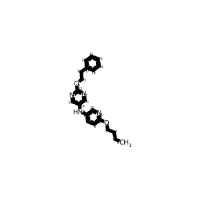 CCCCOc1ccc(Nc2cnc(OCCc3ccccc3)nc2)cn1